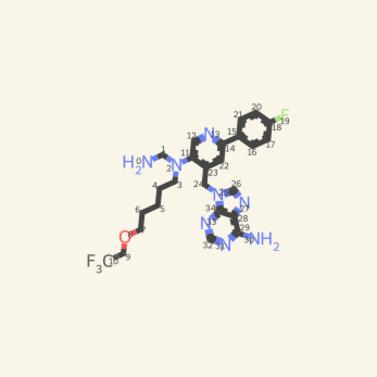 NCN(CCCCCOCC(F)(F)F)c1cnc(-c2ccc(F)cc2)cc1Cn1cnc2c(N)ncnc21